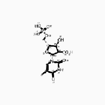 Cc1cn([C@@H]2O[C@H](COP(=O)(O)O)[C@@H](O)C2C(=O)O)c(=O)[nH]c1=O